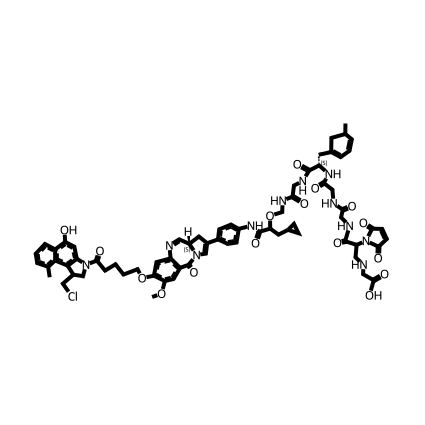 COc1cc2c(cc1OCCCCC(=O)N1CC(CCl)c3c1cc(O)c1cccc(C)c31)N=C[C@@H]1CC(c3ccc(NC(=O)C(CC4CC4)OCNC(=O)CNC(=O)[C@H](CC4=CC=CC(C)C4)NC(=O)CNC(=O)CNC(=O)C(CNCC(=O)O)N4C(=O)C=CC4=O)cc3)=CN1C2=O